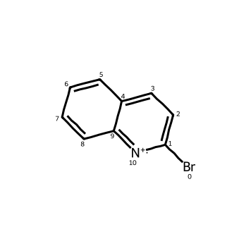 BrC1=CC=c2ccccc2=[N+]1